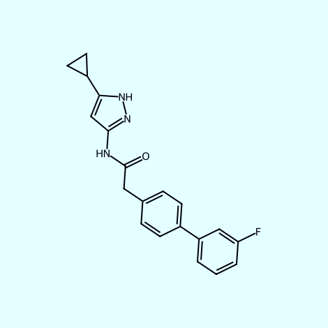 O=C(Cc1ccc(-c2cccc(F)c2)cc1)Nc1cc(C2CC2)[nH]n1